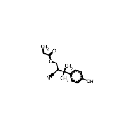 C=CC(=O)OCC(C#N)C(C)(C)c1ccc(O)cc1